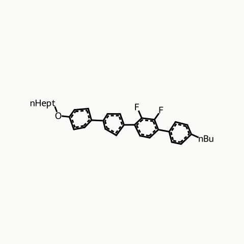 CCCCCCCOc1ccc(-c2ccc(-c3ccc(-c4ccc(CCCC)cc4)c(F)c3F)cc2)cc1